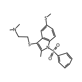 CSc1ccc2c(c1)c(SCCN(C)C)c(C)n2S(=O)(=O)c1ccccc1